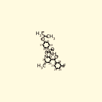 Cc1cnc(NS(=O)(=O)c2ccc(OC(C)C)cc2)c(C(=O)c2cccc(F)c2)c1